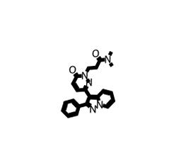 CN(C)C(=O)CCn1nc(-c2c(-c3ccccc3)nn3ccccc23)ccc1=O